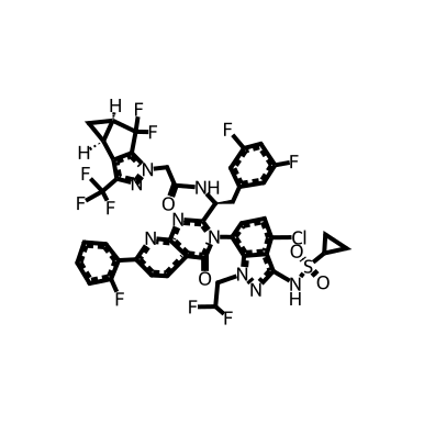 O=C(Cn1nc(C(F)(F)F)c2c1C(F)(F)[C@@H]1C[C@H]21)N[C@@H](Cc1cc(F)cc(F)c1)c1nc2nc(-c3ccccc3F)ccc2c(=O)n1-c1ccc(Cl)c2c(NS(=O)(=O)C3CC3)nn(CC(F)F)c12